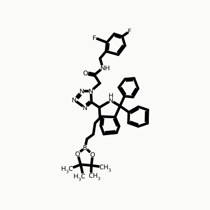 CC1(C)OB(CCCCC(NC(c2ccccc2)(c2ccccc2)c2ccccc2)c2nnnn2CC(=O)NCc2ccc(F)cc2F)OC1(C)C